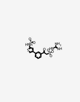 N=C(N)NOS(=O)(=O)CC(=O)c1cccc(-c2csc(N[SH](=O)=O)c2)c1